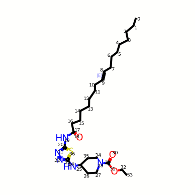 CCCCCCCC/C=C/CCCCCCCC(=O)Nc1nnc(NC2CCN(C(=O)OCC)CC2)s1